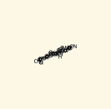 COOC(=O)[C@H](Cc1ccc(-c2ccc(C#N)cc2)cc1)NC(=O)[C@@H]1Cc2cc3c(cc2CN1)OC(c1ccc(OCc2ccc(Cl)c(Cl)c2)cc1)CO3